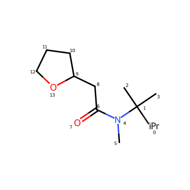 CC(C)C(C)(C)N(C)C(=O)CC1CCCO1